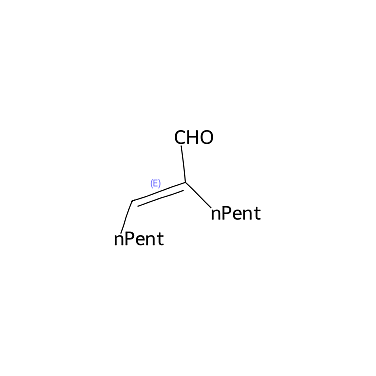 CCCCC/C=C(/C=O)CCCCC